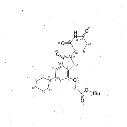 CC(C)(C)OC(=O)COc1cc(N2CCCCC2)cc2c1CN(C1CCC(=O)NC1=O)C2=O